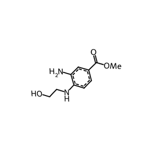 COC(=O)c1ccc(NCCO)c(N)c1